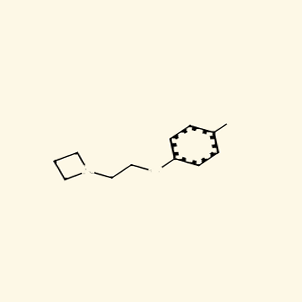 Oc1ccc(OCCN2CCC2)cc1